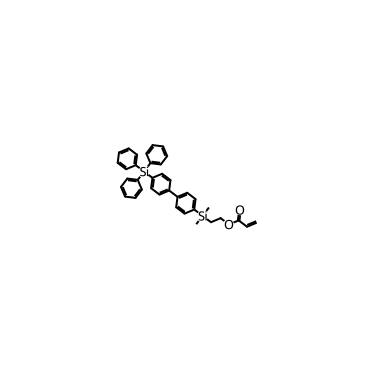 C=CC(=O)OCC[Si](C)(C)c1ccc(-c2ccc([Si](c3ccccc3)(c3ccccc3)c3ccccc3)cc2)cc1